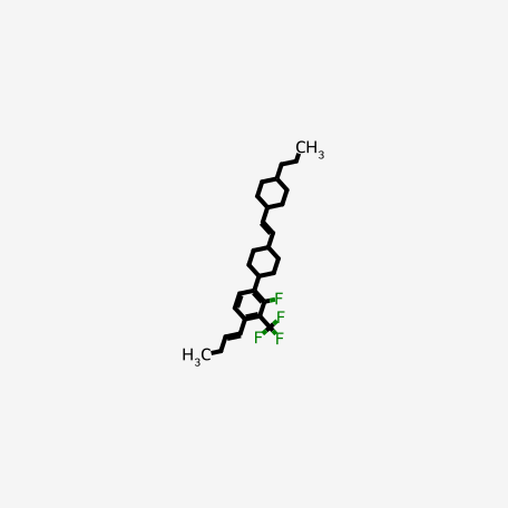 CC/C=C/c1ccc(C2CCC(/C=C/C3CCC(CCC)CC3)CC2)c(F)c1C(F)(F)F